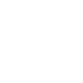 CCCCCCCCCCCCCCCCS(=O)(=O)Nc1cccc(O)c1